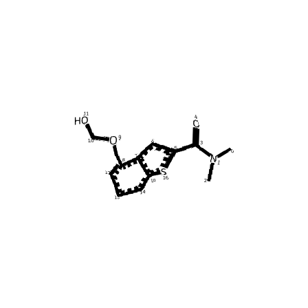 CN(C)C(=O)c1cc2c(OCO)cccc2s1